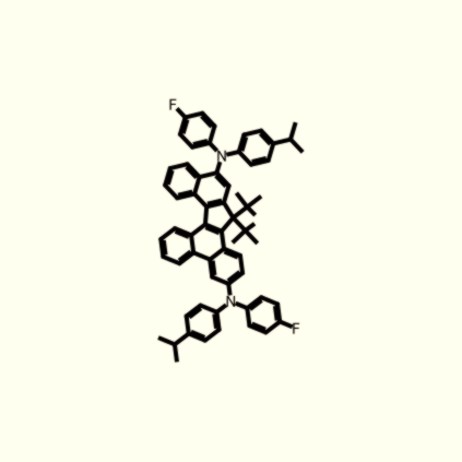 CC(C)c1ccc(N(c2ccc(F)cc2)c2ccc3c4c(c5ccccc5c3c2)-c2c(cc(N(c3ccc(F)cc3)c3ccc(C(C)C)cc3)c3ccccc23)C4(C(C)(C)C)C(C)(C)C)cc1